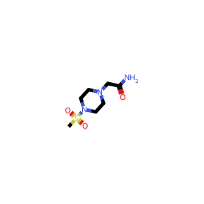 CS(=O)(=O)N1CCN(CC(N)=O)CC1